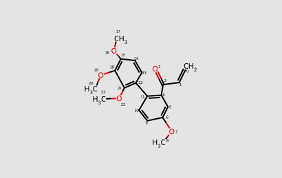 C=CC(=O)c1cc(OC)ccc1-c1ccc(OC)c(OC)c1OC